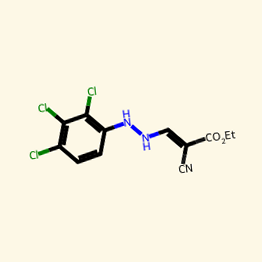 CCOC(=O)/C(C#N)=C/NNc1ccc(Cl)c(Cl)c1Cl